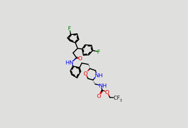 O=C(CC(c1ccc(F)cc1)c1ccc(F)cc1)Nc1ccccc1CC[C@@H]1CN[C@H](CNC(=O)OCC(F)(F)F)CO1